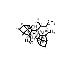 CCC(C)B(C1CC2CC(C1C)C2(C)C)C1CC2CC(C1C)C2(C)C